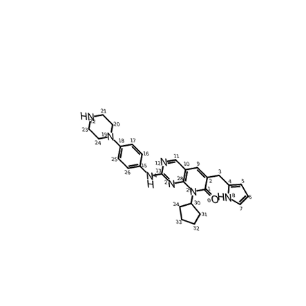 O=c1c(Cc2ccc[nH]2)cc2cnc(Nc3ccc(N4CCNCC4)cc3)nc2n1C1CCCC1